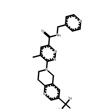 [2H]C([2H])([2H])c1cnc2c(c1)CN(c1nnc(C(=O)NCc3ccncc3)cc1C)CC2